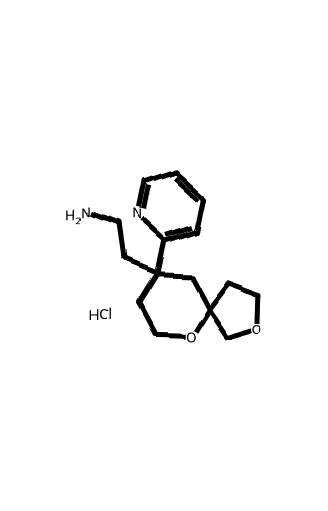 Cl.NCCC1(c2ccccn2)CCOC2(CCOC2)C1